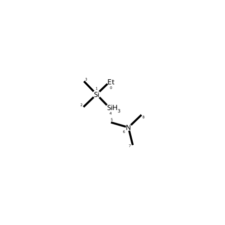 CC[Si](C)(C)[SiH3].CN(C)C